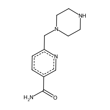 NC(=O)c1ccc(CN2CCNCC2)nc1